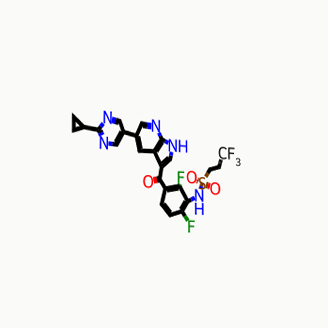 O=C(c1ccc(F)c(NS(=O)(=O)CCC(F)(F)F)c1F)c1c[nH]c2ncc(-c3cnc(C4CC4)nc3)cc12